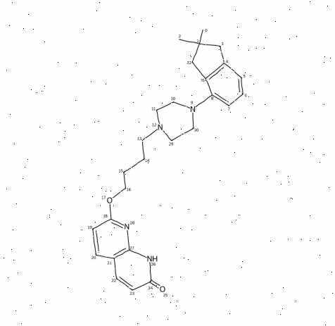 CC1(C)Cc2cccc(N3CCN(CCCCOc4ccc5ccc(=O)[nH]c5n4)CC3)c2C1